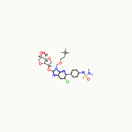 CN(C)S(C)(=O)=Nc1ccc(-c2nc3c(cc2Cl)nc(O[C@@H]2CO[C@H]4C2OC[C@H]4O)n3COCC[Si](C)(C)C)cc1